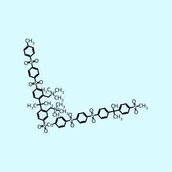 Cc1ccc(S(=O)(=O)c2ccc(S(=O)(=O)c3ccc(C(C)(C)c4ccc([S](=O)(=O)[Co][c]5ccc(S(=O)(=O)c6ccc(S(=O)(=O)c7ccc(C(C)(C)c8ccc(S(C)(=O)=O)cc8)cc7)cc6)cc5)cc4C[N+](C)(C)C)c(C[N+](C)(C)C)c3)cc2)cc1